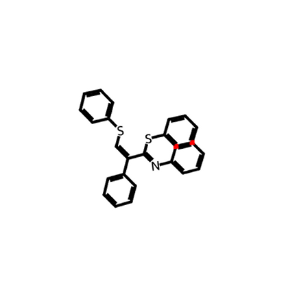 C(Sc1ccccc1)=C(C(=Nc1ccccc1)Sc1ccccc1)c1ccccc1